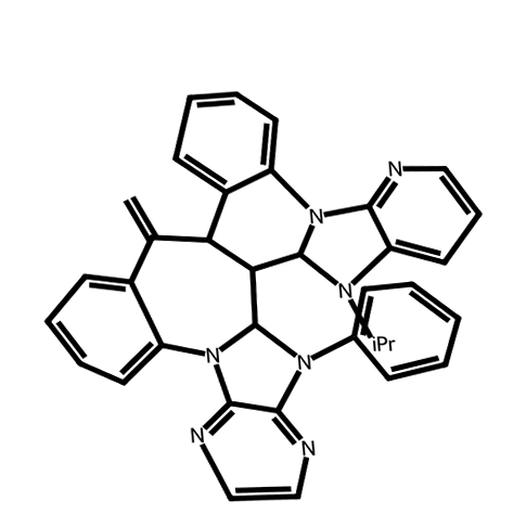 C=C1c2ccccc2N2c3nccnc3N(c3ccccc3)C2C2C1c1ccccc1N1c3ncccc3N(C(C)C)C21